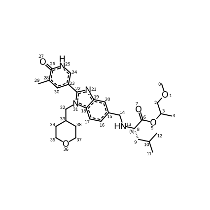 COCC(C)OC(=O)[C@H](CC(C)C)NCc1ccc2c(c1)nc(-c1c[nH]c(=O)c(C)c1)n2CC1CCOCC1